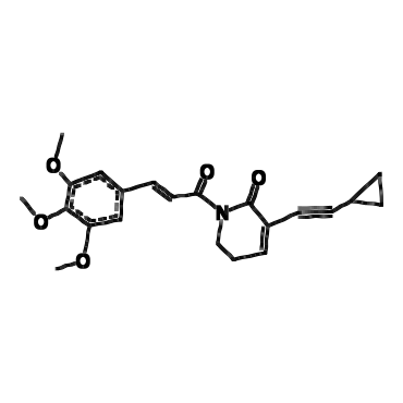 COc1cc(C=CC(=O)N2CCC=C(C#CC3CC3)C2=O)cc(OC)c1OC